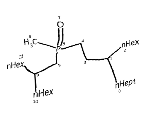 CCCCCCCC(CCCCCC)CCP(C)(=O)CC(CCCCCC)CCCCCC